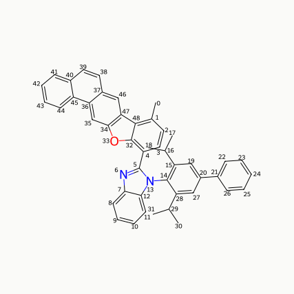 Cc1ccc(-c2nc3ccccc3n2-c2c(C(C)C)cc(-c3ccccc3)cc2C(C)C)c2oc3cc4c(ccc5ccccc54)cc3c12